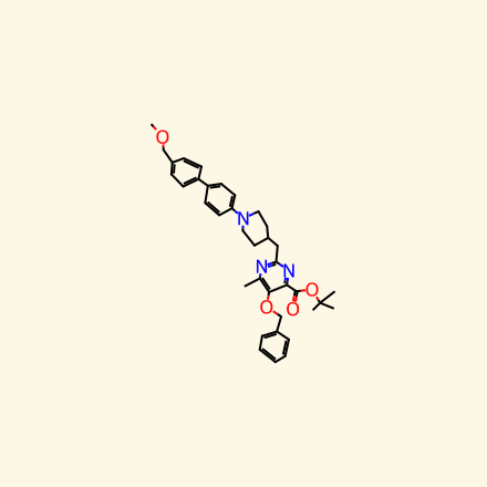 COCc1ccc(-c2ccc(N3CCC(Cc4nc(C)c(OCc5ccccc5)c(C(=O)OC(C)(C)C)n4)CC3)cc2)cc1